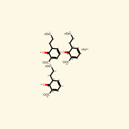 CCCCCCCCCCCCC1C=CC=C(C(=O)[O-])C1=O.CCCCCCCCCCCCC1C=CC=C(C(=O)[O-])C1=O.CCCCCCCCCCCCC1C=CC=C(C(=O)[O-])C1=O.[Fe+3]